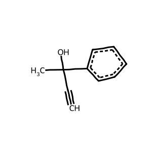 C#CC(C)(O)c1ccccc1